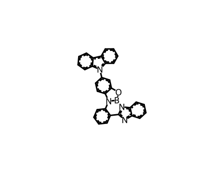 c1ccc2c(c1)-c1nc3ccccc3n1B1Oc3cc(-n4c5ccccc5c5ccccc54)ccc3N12